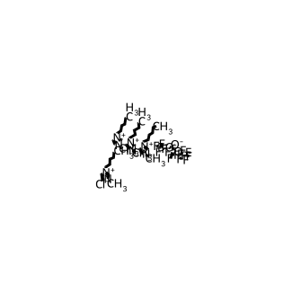 CCCCCC[n+]1ccn(C)c1.CCCCCC[n+]1ccn(C)c1.CCCCCC[n+]1ccn(C)c1.CCCCCC[n+]1ccn(C)c1.F[B-](F)(F)F.F[P-](F)(F)(F)(F)F.O=S(=O)([O-])C(F)(F)F.[Cl-]